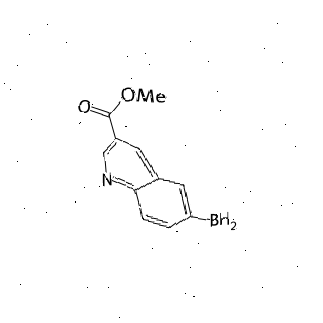 Bc1ccc2ncc(C(=O)OC)cc2c1